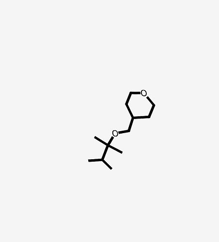 CC(C)C(C)(C)OCC1CCOCC1